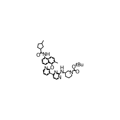 Cc1ccc2c(NC(=O)C3CCC(C)C3)cccc2c1Oc1ncccc1-c1ccnc(NC2CCCN(C(=O)OC(C)(C)C)C2)n1